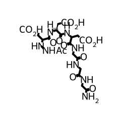 CC(=O)NNC(CC(=O)O)C(=O)N[C@@H](CC(=O)O)C(=O)NC(CC(=O)O)C(=O)NCC(=O)NCC(=O)NCC(N)=O